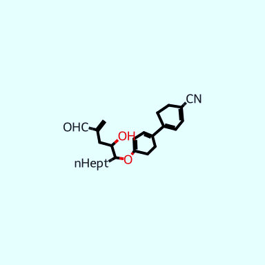 C=C(C=O)CC(O)C(CCCCCCC)OC1=CC=C(C2=CC=C(C#N)CC2)CC1